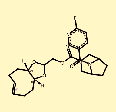 O=C(OCC1O[C@H]2CC/C=C/CC[C@H]2O1)N1CC2CCC(C1)N2C(=O)c1ccc(F)nc1